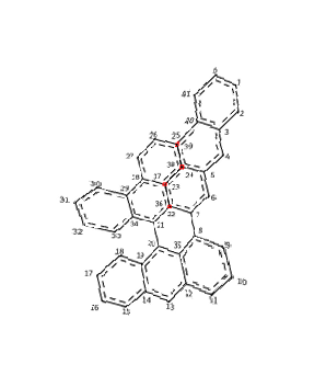 c1ccc2cc3cc(-c4cccc5cc6ccccc6c(-c6cc7ccccc7c7ccccc67)c45)ccc3cc2c1